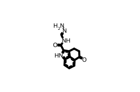 NN=CNC(=O)c1[nH]c2cccc3c2c1CCC3=O